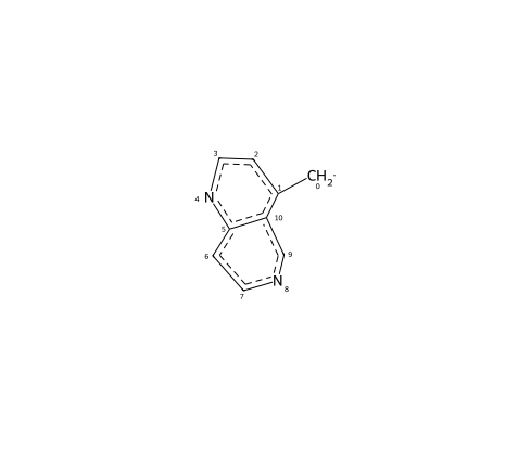 [CH2]c1ccnc2ccncc12